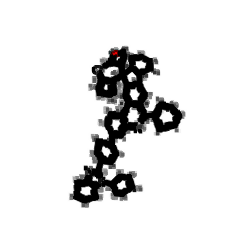 c1ccc(-c2nc3cc(-c4ccc(-c5nc6ccccc6n5-c5ccccc5)cc4)ccc3c3cc4c(cc23)-c2ccccc2C42c3ccccc3Oc3ccccc32)cc1